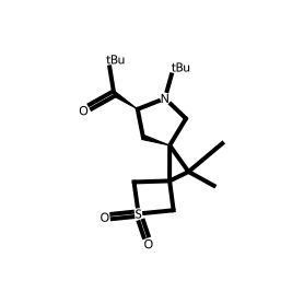 CC(C)(C)C(=O)[C@@H]1C[C@@]2(CN1C(C)(C)C)C(C)(C)C21CS(=O)(=O)C1